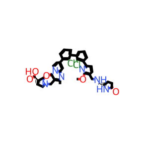 COc1nc(-c2cccc(-c3cccc(-c4ccn5c(=O)c(CN6CC[C@@H](C(=O)O)C6)c(C)nc5c4)c3Cl)c2Cl)ccc1CNC[C@@H]1CCC(=O)N1